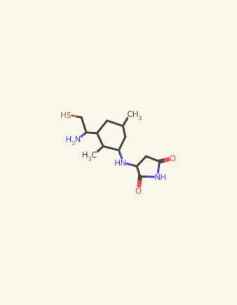 CC1CC(NC2CC(=O)NC2=O)C(C)C(C(N)CS)C1